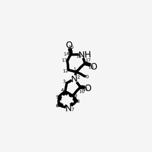 CC1(N2Cc3ccncc3C2=O)CCC(=O)NC1=O